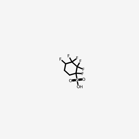 O=S(=O)(O)C1(F)CCC(F)C(F)(F)C1(F)F